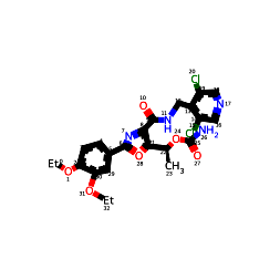 CCOc1ccc(-c2nc(C(=O)NCc3c(Cl)cncc3Cl)c([C@H](C)OC(N)=O)o2)cc1OCC